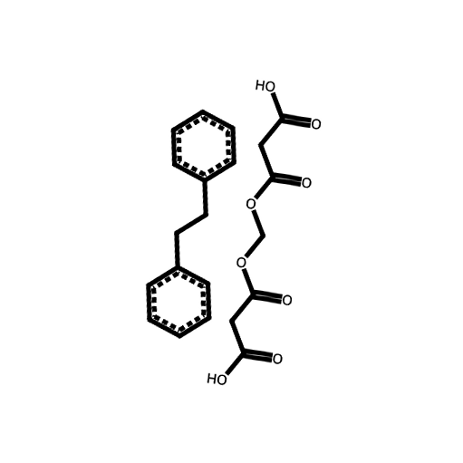 O=C(O)CC(=O)OCOC(=O)CC(=O)O.c1ccc(CCc2ccccc2)cc1